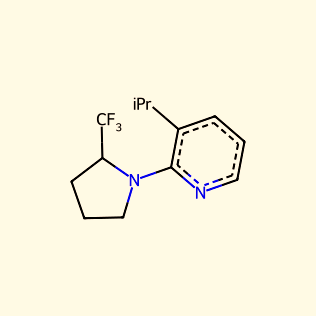 CC(C)c1cccnc1N1CCCC1C(F)(F)F